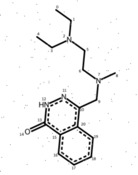 CCN(CC)CCN(C)Cc1n[nH]c(=O)c2ccccc12